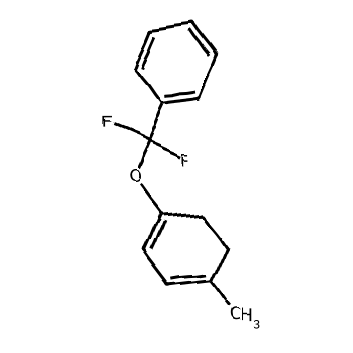 CC1=CC=C(OC(F)(F)c2ccccc2)CC1